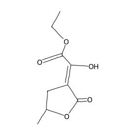 CCOC(=O)/C(O)=C1\CC(C)OC1=O